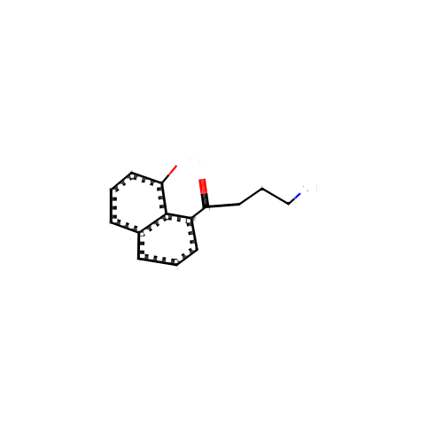 NCCCC(=O)c1cccc2cccc(O)c12